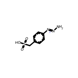 N/N=N/c1ccc(CS(=O)(=O)O)cc1